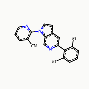 CCc1cccc(CC)c1-c1cc2ccn(-c3ncccc3C#N)c2cn1